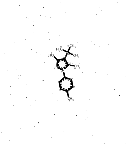 Cc1ccc(-n2nc(O)c(C(C)(C)C)c2C)cc1